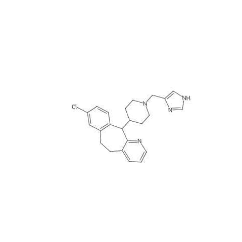 Clc1ccc2c(c1)CCc1cccnc1C2C1CCN(Cc2c[nH]cn2)CC1